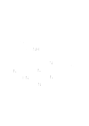 CCc1nc(Nc2cc(C(=O)Nc3ccccc3)ccn2)nc(N2CCCC2COC)n1